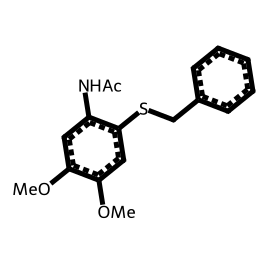 COc1cc(NC(C)=O)c(SCc2ccccc2)cc1OC